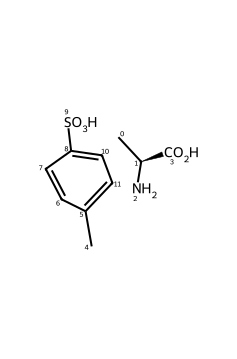 C[C@H](N)C(=O)O.Cc1ccc(S(=O)(=O)O)cc1